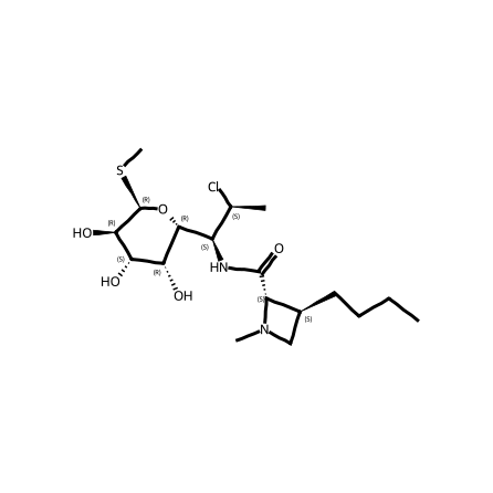 CCCC[C@H]1CN(C)[C@@H]1C(=O)N[C@@H]([C@H]1O[C@H](SC)[C@H](O)[C@@H](O)[C@H]1O)[C@H](C)Cl